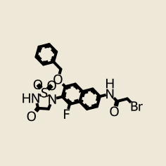 O=C(CBr)Nc1ccc2c(F)c(N3CC(=O)NS3(=O)=O)c(OCc3ccccc3)cc2c1